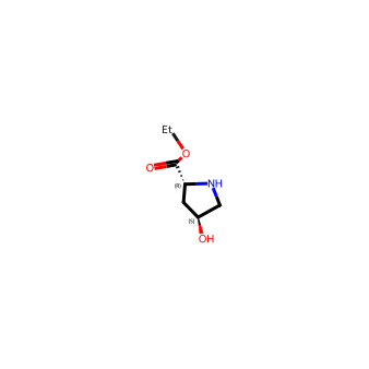 CCOC(=O)[C@H]1C[C@H](O)CN1